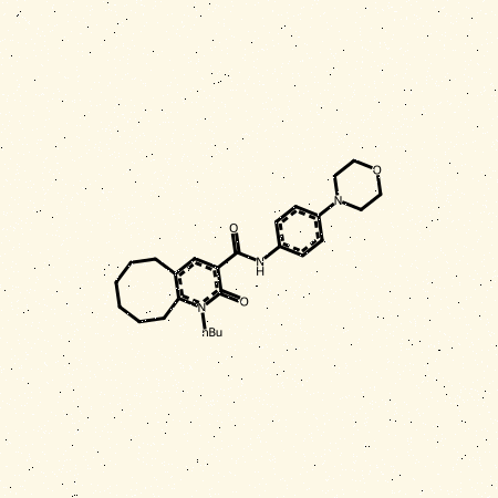 CCCCn1c2c(cc(C(=O)Nc3ccc(N4CCOCC4)cc3)c1=O)CCCCCC2